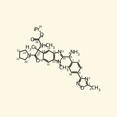 Cc1nc(-c2ccc(C(N)c3nc4cc(C(C)(C(=O)N5CCCC5)N(C)C(=O)OC(C)C)ccc4n3C)cc2)no1